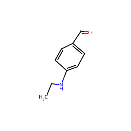 CCNc1ccc([C]=O)cc1